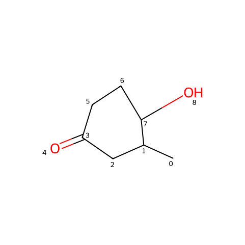 CC1CC(=O)CCC1O